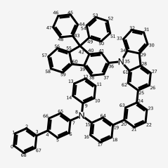 c1ccc(-c2ccc(N(c3ccccc3)c3cccc(-c4cccc(-c5ccc6c7ccccc7n(-c7ccc8c(c7)C(c7ccccc7)(c7ccccc7)c7ccccc7-8)c6c5)c4)c3)cc2)cc1